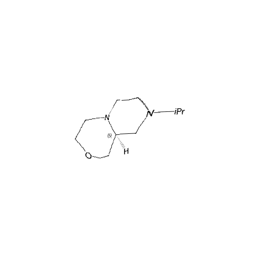 CC(C)N1CCN2CCOC[C@@H]2C1